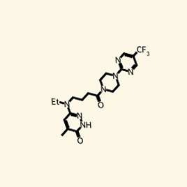 CCN(CCCC(=O)N1CCN(c2ncc(C(F)(F)F)cn2)CC1)c1cc(C)c(=O)[nH]n1